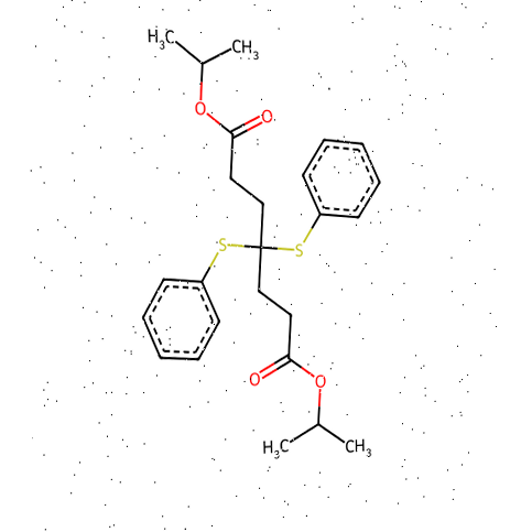 CC(C)OC(=O)CCC(CCC(=O)OC(C)C)(Sc1ccccc1)Sc1ccccc1